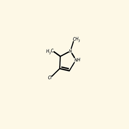 CC1C(Cl)=CNN1C